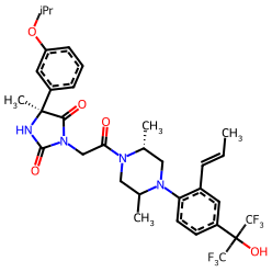 CC=Cc1cc(C(O)(C(F)(F)F)C(F)(F)F)ccc1N1C[C@@H](C)N(C(=O)CN2C(=O)N[C@@](C)(c3cccc(OC(C)C)c3)C2=O)CC1C